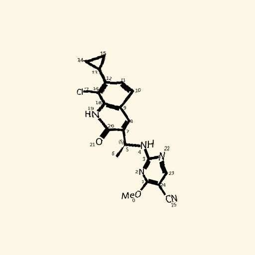 COc1nc(N[C@@H](C)c2cc3ccc(C4CC4)c(Cl)c3[nH]c2=O)ncc1C#N